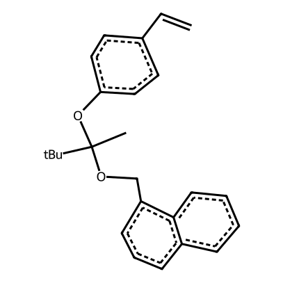 C=Cc1ccc(OC(C)(OCc2cccc3ccccc23)C(C)(C)C)cc1